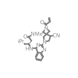 C=CC(=O)N1CC2(C1)CN(c1nc(N[C@H](CC(=O)NC)CC(C)C)c3ccccc3n1)CC2C#N